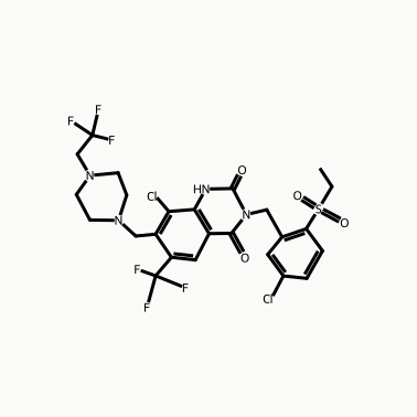 CCS(=O)(=O)c1ccc(Cl)cc1Cn1c(=O)[nH]c2c(Cl)c(CN3CCN(CC(F)(F)F)CC3)c(C(F)(F)F)cc2c1=O